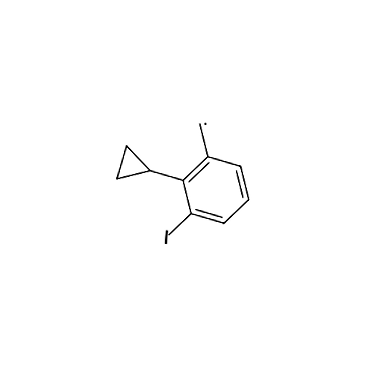 [CH2]c1cccc(I)c1C1CC1